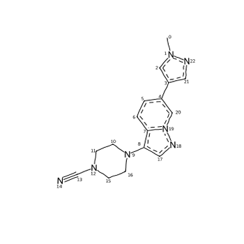 Cn1cc(-c2ccc3c(N4CCN(C#N)CC4)cnn3c2)cn1